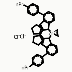 CCCc1ccc(-c2cccc3c2C=C(C2CCCC2)[CH]3[Zr+2]2([CH]3C(C4CCCC4)=Cc4c(-c5ccc(CCC)cc5)cccc43)[CH2][CH2]2)cc1.[Cl-].[Cl-]